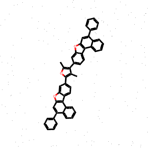 Cc1oc(-c2ccc3c(c2)oc2cc(-c4ccccc4)c4ccccc4c23)c(C)c1-c1ccc2c(c1)oc1cc(-c3ccccc3)c3ccccc3c12